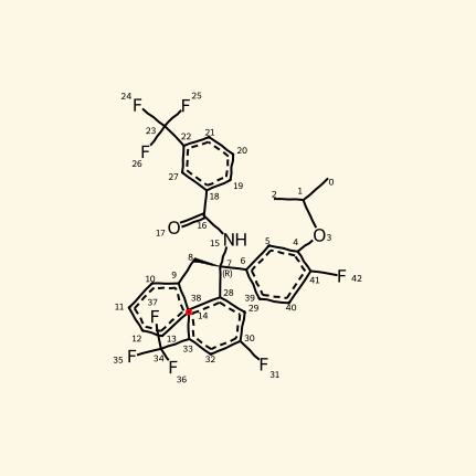 CC(C)Oc1cc([C@@](Cc2ccccc2)(NC(=O)c2cccc(C(F)(F)F)c2)c2cc(F)cc(C(F)(F)F)c2)ccc1F